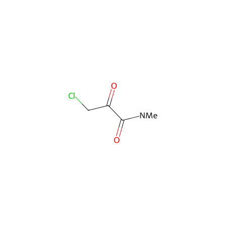 CNC(=O)C(=O)CCl